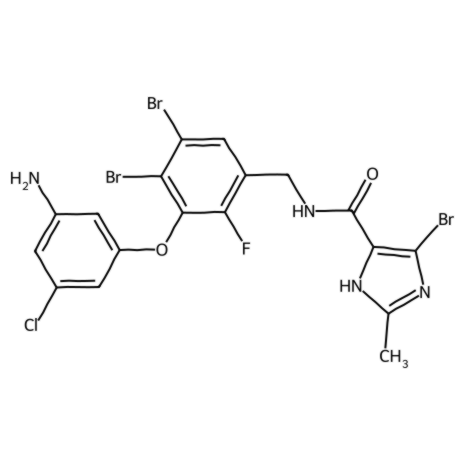 Cc1nc(Br)c(C(=O)NCc2cc(Br)c(Br)c(Oc3cc(N)cc(Cl)c3)c2F)[nH]1